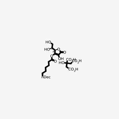 CCCCCCCCCCCCCCCC(=O)OC1=C(O)C(=O)O[C@@H]1[C@@H](O)CO.O=C(O)CC(O)(CC(=O)O)C(=O)O